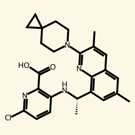 Cc1cc([C@H](C)Nc2ccc(Cl)nc2C(=O)O)c2nc(N3CCC4(CC3)CC4)c(C)cc2c1